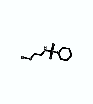 CCOCCNS(=O)(=O)N1CCCCC1